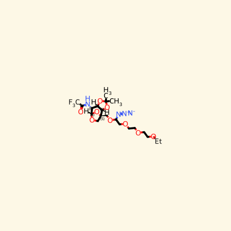 CCOCCOCCOCC(N=[N+]=[N-])OC[C@@]12CO[C@@H](O1)[C@H](NC(=O)C(F)(F)F)[C@H]1OC(C)(C)O[C@H]12